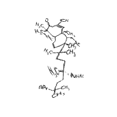 CCCC(C)(C)CC[C@@](C)(CCC(C)(C)[C@]1(C)CC[C@H]2C(C)(C)C(=O)C(C#N)=C[C@]2(C)[C@H]1CC(C)=O)NC(C)=O